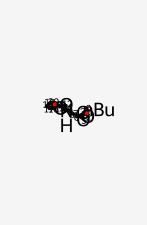 CCCCC(=O)OC(=O)CCCCNC(=O)OCc1ccccc1